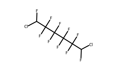 FC(Cl)C(F)(F)C(F)(F)C(F)(F)C(F)(F)C(F)Cl